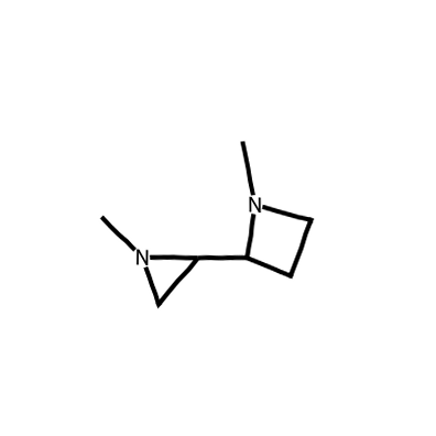 CN1CCC1C1CN1C